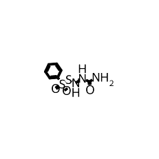 NC(=O)NNSS(=O)(=O)c1ccccc1